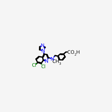 CN(Cc1cccc(CC(=O)O)c1)c1cc(-n2ccnc2)c2ccc(Cl)c(Cl)c2n1